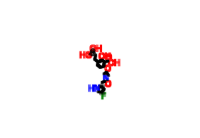 O=C(O)c1c(OC2CN(C(=O)C[C@@H]3C[C@H](F)CN3)C2)ccc(CCB(O)O)c1O